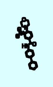 O=C(Nc1ccc(-c2ccccc2)cc1)c1ccc(N2CCOCC2)c([N+](=O)[O-])c1